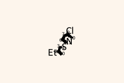 C=C(CC)CSc1ccc(Cl)cn1